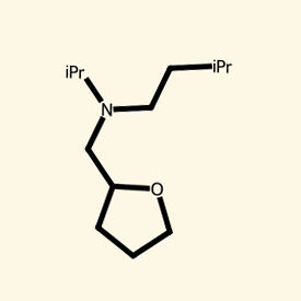 CC(C)CCN(CC1CCCO1)C(C)C